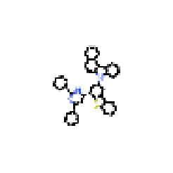 c1ccc(-c2cc(-c3cc(-n4c5ccccc5c5c6ccccc6ccc54)cc4c3sc3ccccc34)nc(-c3ccccc3)n2)cc1